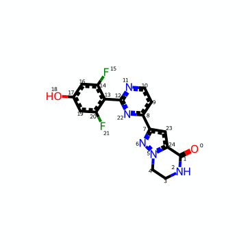 O=C1NCCn2nc(-c3ccnc(-c4c(F)cc(O)cc4F)n3)cc21